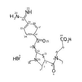 Br.CC1C(C(=O)N(C)CCC(=O)O)SC(=NC(=O)c2ccc(C(=N)N)cc2)N1C